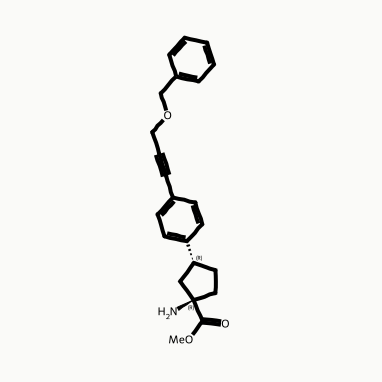 COC(=O)[C@@]1(N)CC[C@@H](c2ccc(C#CCOCc3ccccc3)cc2)C1